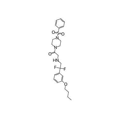 CCCCOc1cccc(C(F)(F)CNCC(=O)N2CCN(S(=O)(=O)c3ccccc3)CC2)c1